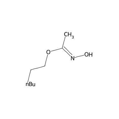 CCCCCCOC(C)=NO